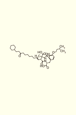 CC(C)CCOc1ccc(C[C@H](NC(=O)[C@@H](/C=C/CCCCCCC(=O)CCC2CCCCC2)[C@@](C)(CC(=O)O)C(=O)O)C(=O)O)cc1